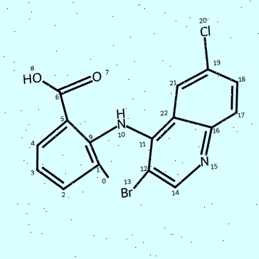 Cc1cccc(C(=O)O)c1Nc1c(Br)cnc2ccc(Cl)cc12